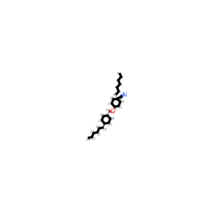 CCCCCCC[C@]1(C#N)CC[C@H](OC[C@H]2CC[C@H](CCCCCC)CC2)CC1